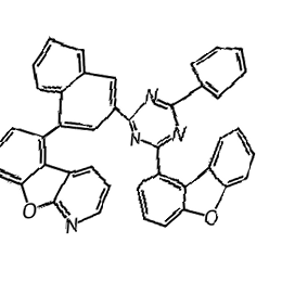 c1ccc(-c2nc(-c3cc(-c4cccc5oc6ncccc6c45)c4ccccc4c3)nc(-c3cccc4oc5ccccc5c34)n2)cc1